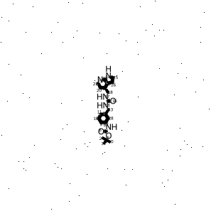 CC(C)(C)OC(=O)Nc1cccc(CNC(=O)NCc2ccnc3[nH]ccc23)c1